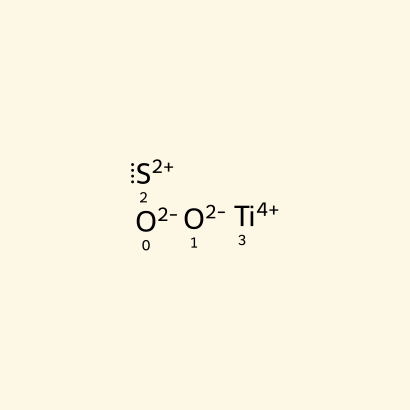 [O-2].[O-2].[S+2].[Ti+4]